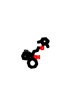 CCC(CCCCOc1c(C)cccc1C)CC1CCCCCCC1(O)Cc1ccccc1